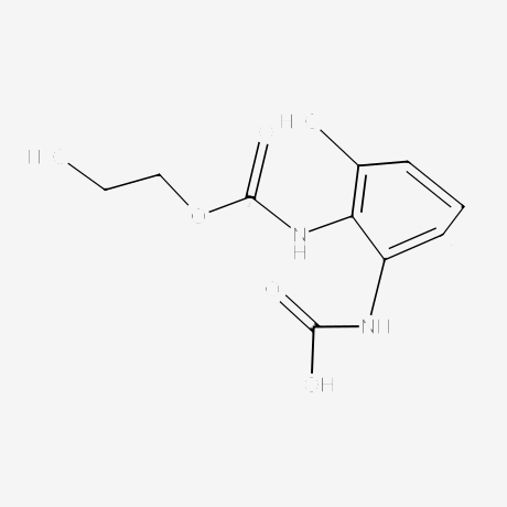 CCCOC(=O)Nc1c(C)cccc1NC(=O)O